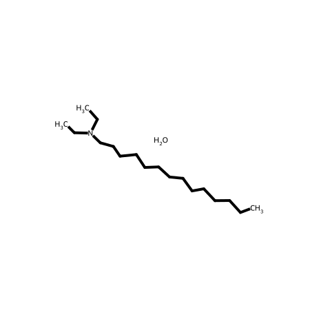 CCCCCCCCCCCCCCN(CC)CC.O